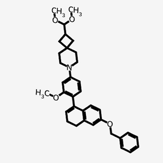 COc1cc(N2CCC3(CC2)CC(C(OC)OC)C3)ccc1C1=CCCc2cc(OCc3ccccc3)ccc21